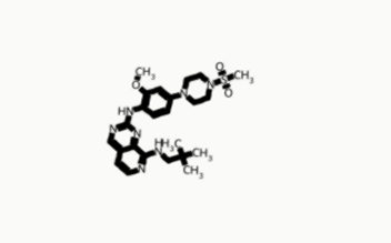 COc1cc(N2CCN(S(C)(=O)=O)CC2)ccc1Nc1ncc2ccnc(NCC(C)(C)C)c2n1